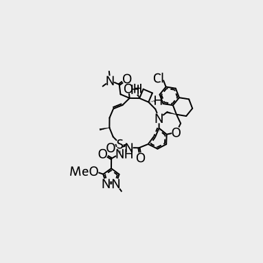 COc1nn(C)cc1C(=O)N[S@@]1(=O)=NC(=O)c2ccc3c(c2)N(C[C@@H]2CC[C@H]2C(O)(CC(=O)N(C)C)/C=C/C[C@H](C)C1)C[C@@]1(CCCc2cc(Cl)ccc21)CO3